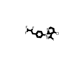 FC(F)C(F)Cc1ccc(-n2nc(I)c3c(Cl)ccnc32)cc1